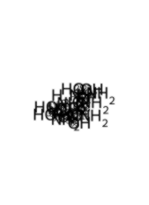 NC[C@@H]1OC(O[C@H]2[C@@H](O)[C@H](O[C@@H]3[C@@H](O)[C@H](N)C[C@H](N)[C@H]3OC3O[C@H](CN)[C@@H](O)[C@H](O)[C@H]3N)O[C@@H]2CO)[C@H](N)[C@@H](O)[C@@H]1O